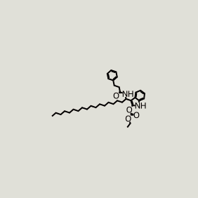 CCCCCCCCCCCCCCCCCC(NC(=O)CCc1ccccc1)c1c(OC(=O)OCC)[nH]c2ccccc12